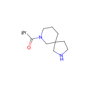 CC(C)C(=O)N1CCCC2(CCNC2)C1